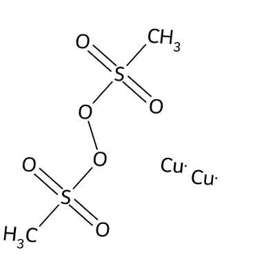 CS(=O)(=O)OOS(C)(=O)=O.[Cu].[Cu]